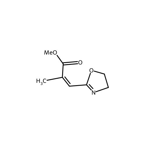 COC(=O)C(C)=CC1=NCCO1